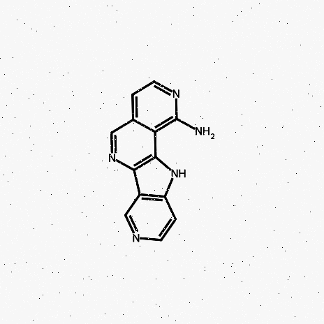 Nc1nccc2cnc3c4cnccc4[nH]c3c12